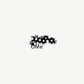 COC(=O)Oc1c(C)c(C)nc(C(C)C)c1Cc1ccc2c(c1)CCC2c1ccc(F)cc1